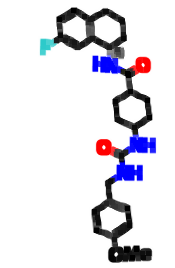 COc1ccc(CNC(=O)NC2CCC(C(=O)N[C@H]3CCCc4ccc(F)cc43)CC2)cc1